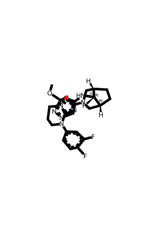 COc1cc(N2C[C@H]3CC[C@@H](C2)[C@H]3Nc2nc3n(n2)CCCN3c2ccc(F)c(F)c2)cnn1